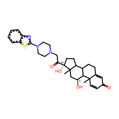 CC12C=CC(=O)C=C1CCC1C2[C@@H](O)CC2(C)C1CC[C@]2(O)C(=O)CN1CCN(c2nc3ccccc3s2)CC1